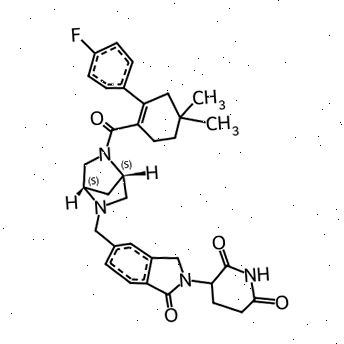 CC1(C)CCC(C(=O)N2C[C@@H]3C[C@H]2CN3Cc2ccc3c(c2)CN(C2CCC(=O)NC2=O)C3=O)=C(c2ccc(F)cc2)C1